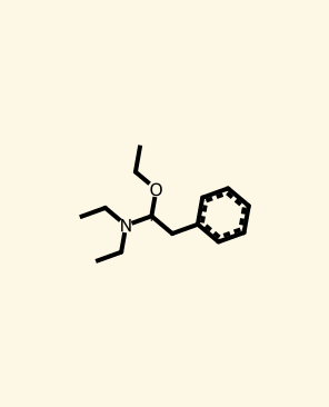 CCO[C](Cc1ccccc1)N(CC)CC